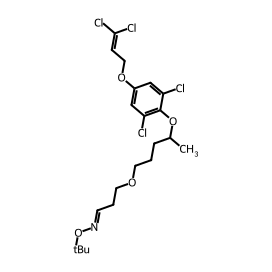 CC(CCCOCCC=NOC(C)(C)C)Oc1c(Cl)cc(OCC=C(Cl)Cl)cc1Cl